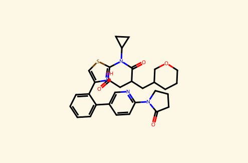 O=C(O)CC(CC1CCCOC1)C(=O)N(c1nc(-c2ccccc2-c2ccc(N3CCCC3=O)nc2)cs1)C1CC1